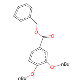 CCCCOc1ccc(C(=O)OCc2ccccc2)cc1OCCCC